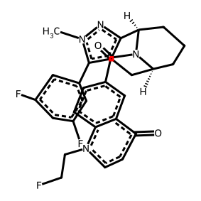 Cn1nc2c(c1-c1cc(F)cc(F)c1)C[C@@H]1CCC[C@H]2N1C(=O)c1ccc2c(c1)c(=O)ccn2CCF